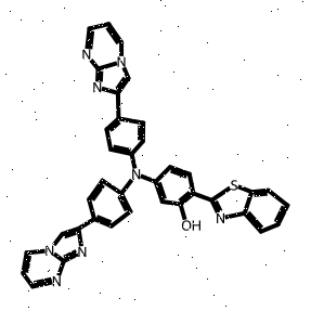 Oc1cc(N(c2ccc(-c3cn4cccnc4n3)cc2)c2ccc(-c3cn4cccnc4n3)cc2)ccc1-c1nc2ccccc2s1